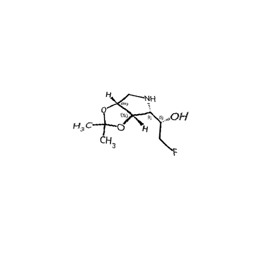 CC1(C)O[C@H]2[C@@H]([C@H](O)CF)NC[C@H]2O1